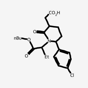 CCCCOC(=O)C(CC)N1C(=O)C(CC(=O)O)CCC1c1ccc(Cl)cc1